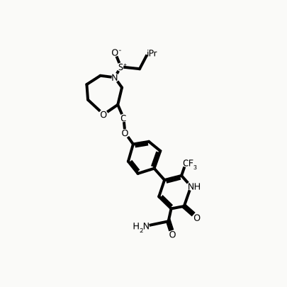 CC(C)C[S+]([O-])N1CCCOC(COc2ccc(-c3cc(C(N)=O)c(=O)[nH]c3C(F)(F)F)cc2)C1